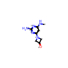 CNc1cc(N2CC(=O)C2)nc(N)n1